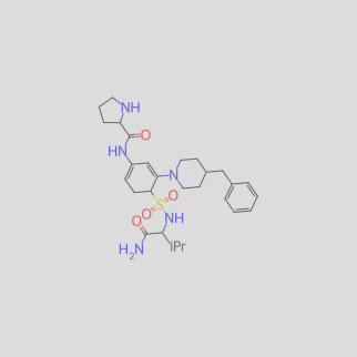 CC(C)C(NS(=O)(=O)C1CC=C(NC(=O)C2CCCN2)C=C1N1CCC(Cc2ccccc2)CC1)C(N)=O